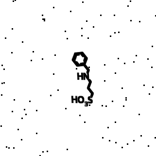 O=S(=O)(O)CCCNCc1ccccc1